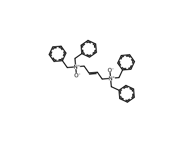 [O-][N+](CC=CC[N+]([O-])(Cc1ccccc1)Cc1ccccc1)(Cc1ccccc1)Cc1ccccc1